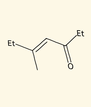 CCC(=O)C=C(C)CC